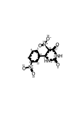 O=c1[nH]c(-c2cccc([N+](=O)[O-])c2)c([N+](=O)[O-])c(=O)[nH]1